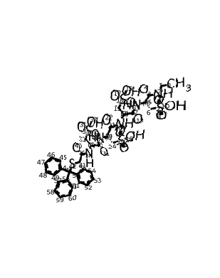 CCNC(=O)[C@H](CS(=O)(=O)O)NC(=O)[C@H](CS(=O)(=O)O)NC(=O)[C@H](CS(=O)(=O)O)NC(=O)[C@H](CS(=O)(=O)O)NC(=O)CSC(c1ccccc1)(c1ccccc1)c1ccccc1